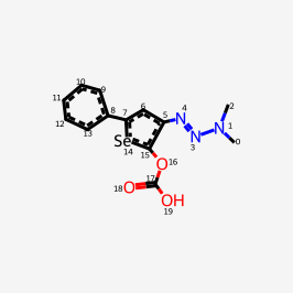 CN(C)N=Nc1cc(-c2ccccc2)[se]c1OC(=O)O